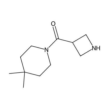 CC1(C)CCN(C(=O)C2CNC2)CC1